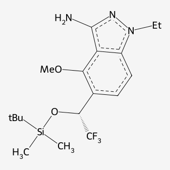 CCn1nc(N)c2c(OC)c([C@@H](O[Si](C)(C)C(C)(C)C)C(F)(F)F)ccc21